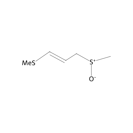 CS/C=C/C[S+](C)[O-]